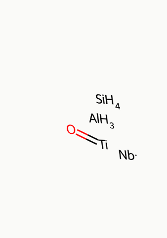 [AlH3].[Nb].[O]=[Ti].[SiH4]